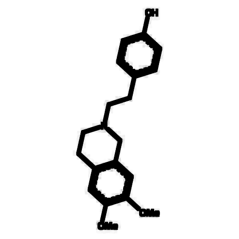 COc1cc2c(cc1OC)CN(CCc1ccc(O)cc1)CC2